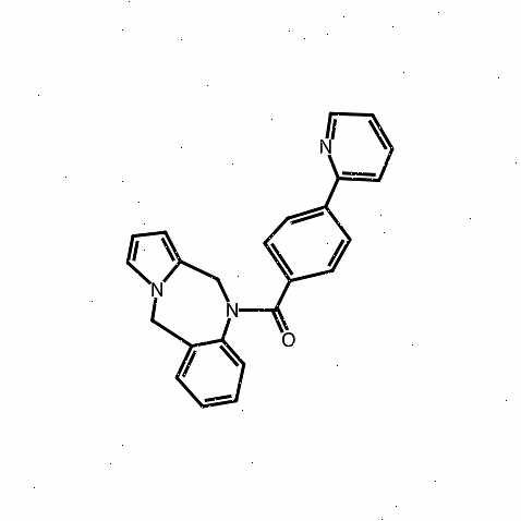 O=C(c1ccc(-c2ccccn2)cc1)N1Cc2cccn2Cc2ccccc21